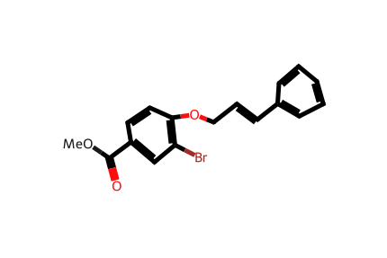 COC(=O)c1ccc(OCC=Cc2ccccc2)c(Br)c1